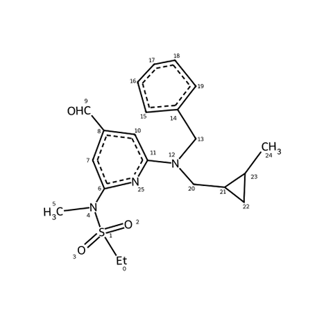 CCS(=O)(=O)N(C)c1cc(C=O)cc(N(Cc2ccccc2)CC2CC2C)n1